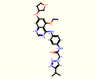 CCOc1cc(OC2CCOC2)cc2ncnc(Nc3ccc(NC(=O)Cn4cc(C(C)C)nn4)cc3)c12